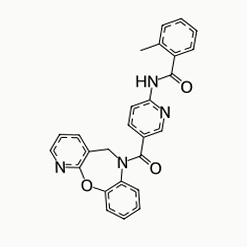 Cc1ccccc1C(=O)Nc1ccc(C(=O)N2Cc3cccnc3Oc3ccccc32)cn1